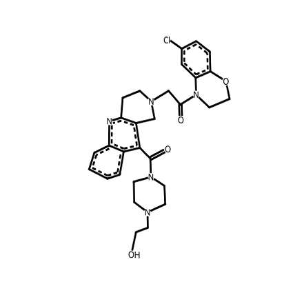 O=C(c1c2c(nc3ccccc13)CCN(CC(=O)N1CCOc3ccc(Cl)cc31)C2)N1CCN(CCO)CC1